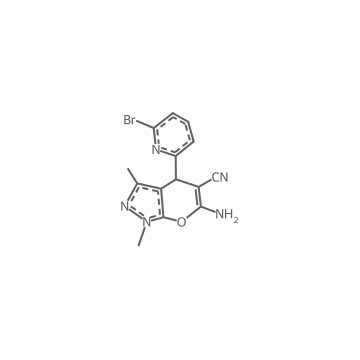 Cc1nn(C)c2c1C(c1cccc(Br)n1)C(C#N)=C(N)O2